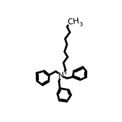 CCCCCCCCC[N+](Cc1ccccc1)(Cc1ccccc1)Cc1ccccc1